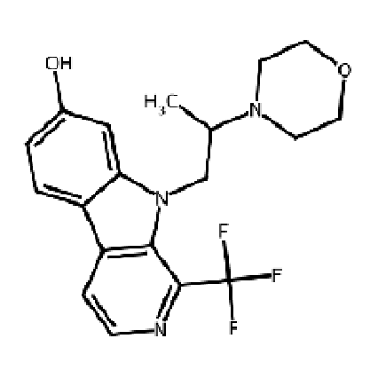 CC(Cn1c2cc(O)ccc2c2ccnc(C(F)(F)F)c21)N1CCOCC1